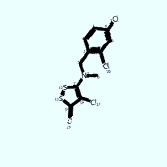 CN(Cc1ccc(Cl)cc1Cl)c1ssc(=O)c1Cl